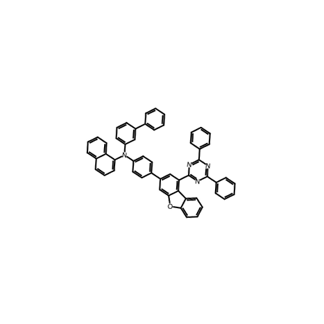 c1ccc(-c2cccc(N(c3ccc(-c4cc(-c5nc(-c6ccccc6)nc(-c6ccccc6)n5)c5c(c4)oc4ccccc45)cc3)c3cccc4ccccc34)c2)cc1